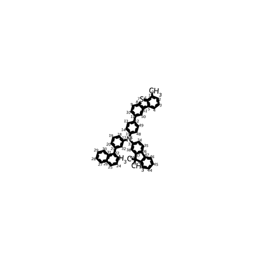 Cc1cccc2c1sc1ccc(-c3ccc(N(c4cccc(-c5cccc6ccccc56)c4)c4ccc5c(c4)C(C)(C)c4ccccc4-5)cc3)cc12